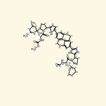 COC(=O)NCC(=O)N1C(c2ncc(-c3cc4c5c(c3)OCc3cc(-c6cnc(C7CC[C@H](C8(C)CCCCO8)N7C(=O)CNC=O)[nH]6)cc(c3-5)OC4)[nH]2)CC[C@@H]1C1(C)CC(C)C[C@@H](C)O1